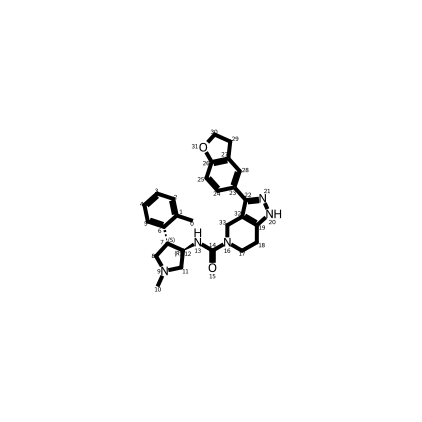 Cc1ccccc1[C@H]1CN(C)C[C@@H]1NC(=O)N1CCc2[nH]nc(-c3ccc4c(c3)CCO4)c2C1